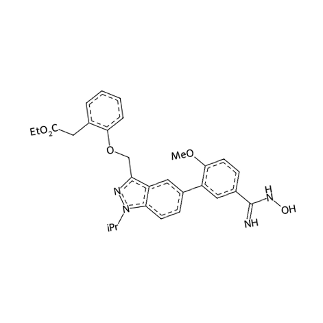 CCOC(=O)Cc1ccccc1OCc1nn(C(C)C)c2ccc(-c3cc(C(=N)NO)ccc3OC)cc12